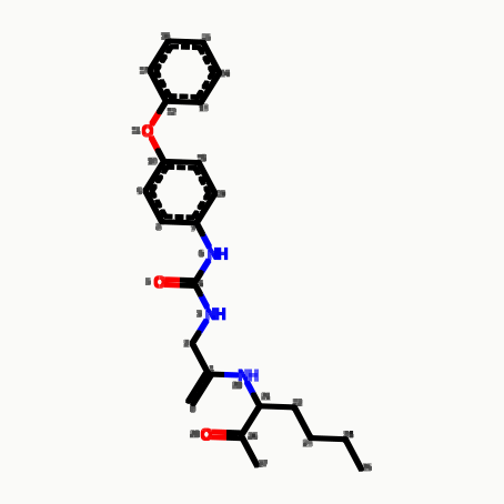 C=C(CNC(=O)Nc1ccc(Oc2ccccc2)cc1)NC(CCCC)C(C)=O